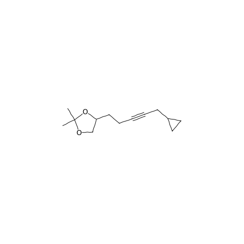 CC1(C)OCC(CCC#CCC2CC2)O1